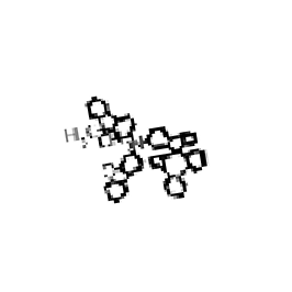 CC1(C)c2ccccc2-c2ccc(N(c3ccc4c(c3)C3(c5ccccc5-c5ccccc5-c5ccccc53)c3ccccc3-4)c3ccc4c(c3)oc3ccccc34)cc21